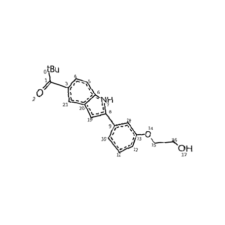 CC(C)(C)C(=O)c1ccc2[nH]c(-c3cccc(OCCO)c3)cc2c1